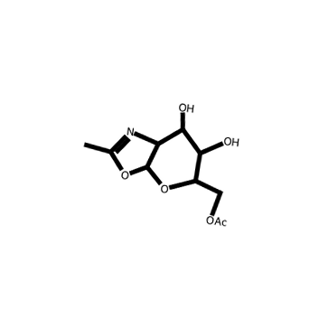 CC(=O)OCC1OC2OC(C)=NC2C(O)C1O